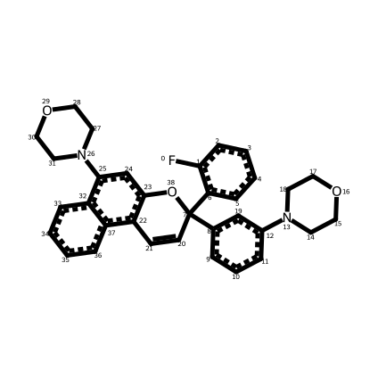 Fc1ccccc1C1(c2cccc(N3CCOCC3)c2)C=Cc2c(cc(N3CCOCC3)c3ccccc23)O1